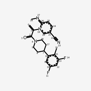 C=C(C(=O)N1CCC(c2cc(F)cc(F)c2C)CC1)n1cc(C#N)cc/c1=N/C